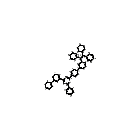 C1=CCCC(C2=CC(c3nc(-c4ccccc4)nc(-c4ccc(-c5cccc(/C(=C(/C6=CCCC=C6)c6ccccc6)c6ccccc6)c5)cc4)n3)=CCC2)=C1